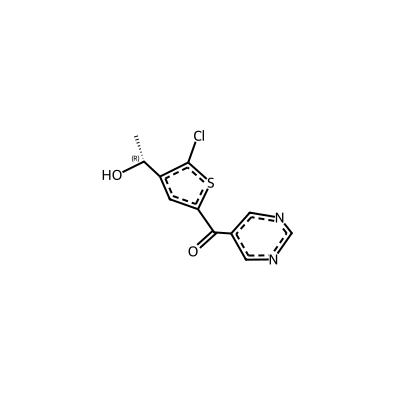 C[C@@H](O)c1cc(C(=O)c2cncnc2)sc1Cl